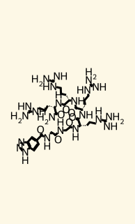 N=C(N)NCCC[C@H](NC(=O)[C@H](CCCNC(=N)N)NC(=O)[C@H](CCCNC(=N)N)NC(=O)[C@H](CCCNC(=N)N)NC(=O)CNC(=O)CNC(=O)c1ccc2[nH]nnc2c1)C(N)=O